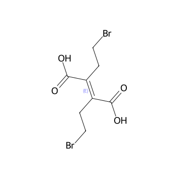 O=C(O)/C(CCBr)=C(\CCBr)C(=O)O